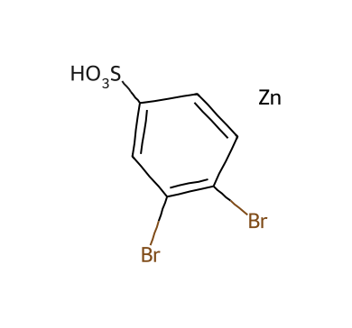 O=S(=O)(O)c1ccc(Br)c(Br)c1.[Zn]